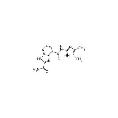 Cc1nc(NC(=O)c2cccc3[nH]c(C(N)=O)nc23)[nH]c1C